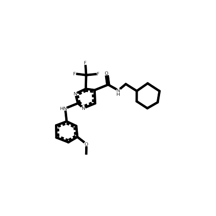 COc1cccc(Nc2ncc(C(=O)NCC3CCCCC3)c(C(F)(F)F)n2)c1